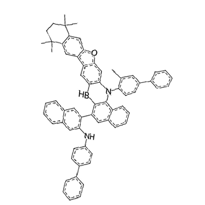 Cc1cc(-c2ccccc2)ccc1N1c2cc3oc4cc5c(cc4c3cc2Bc2c(-c3cc4ccccc4cc3Nc3ccc(-c4ccccc4)cc3)cc3ccccc3c21)C(C)(C)CCC5(C)C